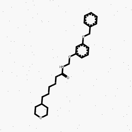 O=C(CCCCCC1CCOCC1)NCOc1cccc(OCc2ccccc2)c1